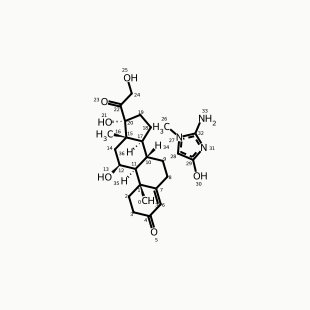 C[C@]12CCC(=O)C=C1CC[C@@H]1[C@@H]2[C@@H](O)C[C@@]2(C)[C@H]1CC[C@]2(O)C(=O)CO.Cn1cc(O)nc1N